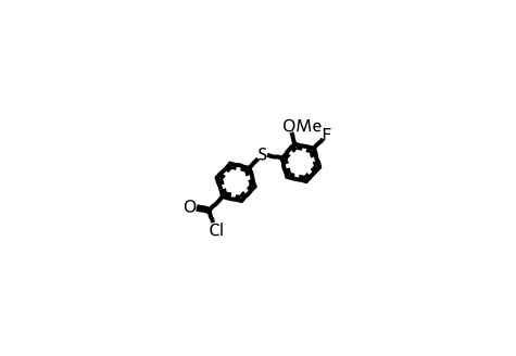 COc1c(F)cccc1Sc1ccc(C(=O)Cl)cc1